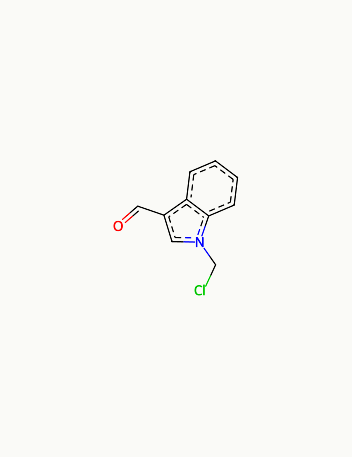 O=Cc1cn(CCl)c2ccccc12